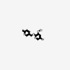 CCOc1cc(Br)cnc1OCc1ccc(C)nc1